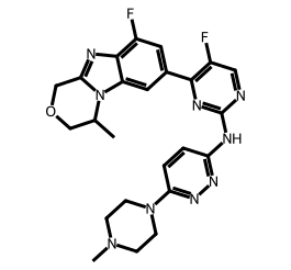 CC1COCc2nc3c(F)cc(-c4nc(Nc5ccc(N6CCN(C)CC6)nn5)ncc4F)cc3n21